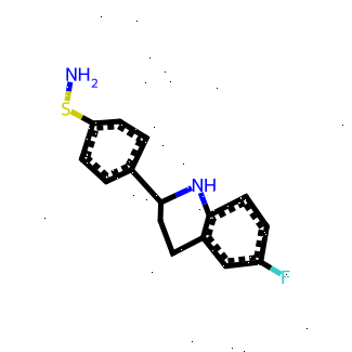 NSc1ccc(C2CCc3cc(F)ccc3N2)cc1